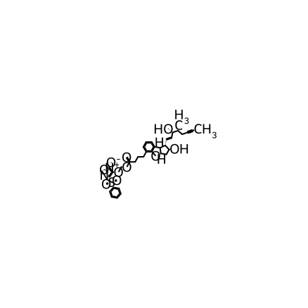 CC#CCC(C)[C@@H](O)/C=C/[C@H]1[C@@H]2c3cccc(CCCC(=O)OCOc4c(S(=O)(=O)c5ccccc5)no[n+]4[O-])c3O[C@@H]2C[C@@H]1O